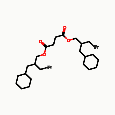 CC(C)CC(COC(=O)CCC(=O)OCC(CC(C)C)CC1CCCCC1)CC1CCCCC1